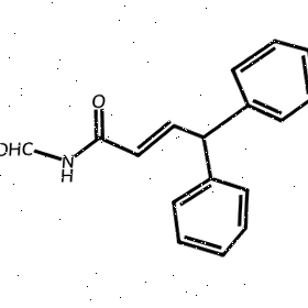 O=CNC(=O)C=CC(c1ccccc1)c1ccccc1